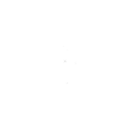 COc1ccc(C(C#N)NOS(=O)(=O)C(F)(F)C(F)(F)OC(F)(C(F)(F)F)C(F)(F)CC(F)=C(F)F)cc1